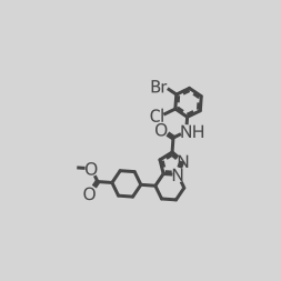 COC(=O)C1CCC(C2CCCn3nc(C(=O)Nc4cccc(Br)c4Cl)cc32)CC1